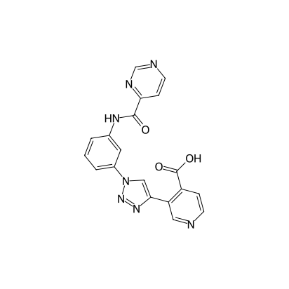 O=C(Nc1cccc(-n2cc(-c3cnccc3C(=O)O)nn2)c1)c1ccncn1